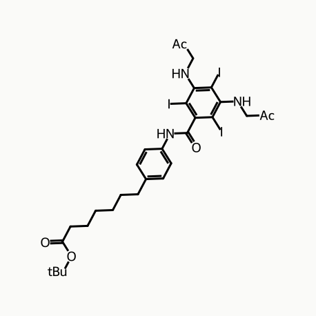 CC(=O)CNc1c(I)c(NCC(C)=O)c(I)c(C(=O)Nc2ccc(CCCCCCC(=O)OC(C)(C)C)cc2)c1I